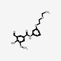 CCOCCOc1cccc(NC(=O)c2cc(C=O)c(O)c(OC)c2)c1